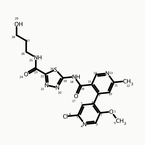 COc1cnc(Cl)cc1-c1cc(C)ncc1C(=O)Nc1nnc(C(=O)NCCCO)s1